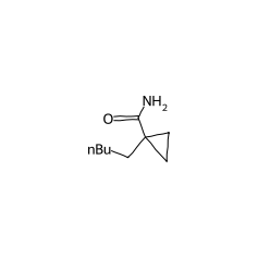 CCCCCC1(C(N)=O)CC1